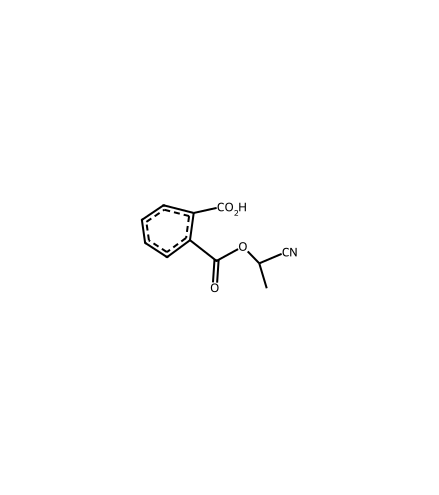 CC(C#N)OC(=O)c1ccccc1C(=O)O